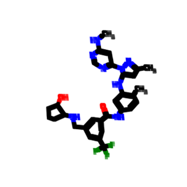 CNc1cc(-n2nc(C)cc2Nc2cc(NC(=O)c3cc(CNC4CCC[C@H]4O)cc(C(F)(F)F)c3)ccc2C)ncn1